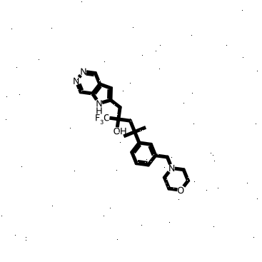 CC(C)(CC(O)(Cc1cc2cnncc2[nH]1)C(F)(F)F)c1cccc(CN2CCOCC2)c1